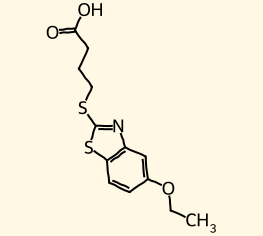 CCOc1ccc2sc(SCCCC(=O)O)nc2c1